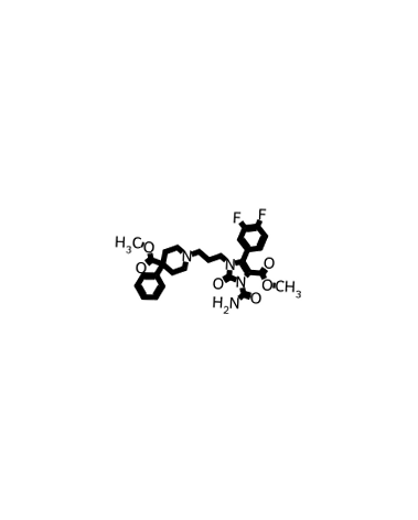 COC(=O)c1c(-c2ccc(F)c(F)c2)n(CCCN2CCC(C(=O)OC)(c3ccccc3)CC2)c(=O)n1C(N)=O